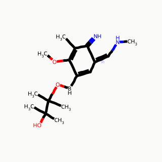 CN/C=C1/C=C(BOC(C)(C)C(C)(C)O)C(OC)=C(C)C1=N